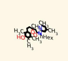 CCCCCCN(C(=O)CC1(C)CCc2c(C)c(O)c(C)c(C)c2O1)c1cc(C)cc(C)n1